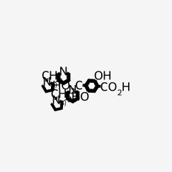 CN1CCC[C@H]1c1cccnc1.CN1CCC[C@H]1c1cccnc1.O=C(O)c1cc(O)c(C(=O)O)cc1O